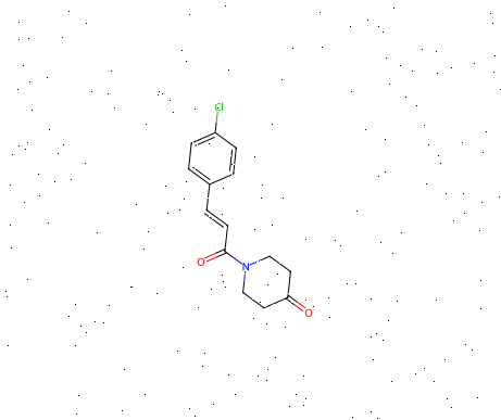 O=C1CCN(C(=O)C=Cc2ccc(Cl)cc2)CC1